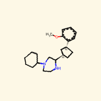 COc1ccccc1[C@@H]1CC[C@@H](C2CN(C3CCCCC3)CCN2)C1